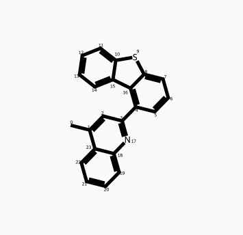 Cc1cc(-c2cccc3sc4ccccc4c23)nc2ccccc12